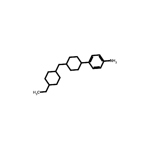 CCC1CCC(CC2CCC(c3ccc(N)cc3)CC2)CC1